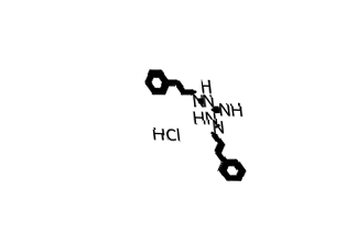 Cl.N=C(NN=CC=Cc1ccccc1)NN=CC=Cc1ccccc1